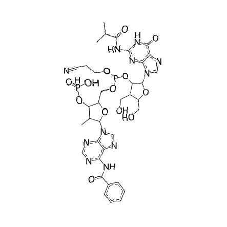 CC(C)C(=O)Nc1nc2c(ncn2C2OC(CO)C(CO)C2OP(OCCC#N)OCC2OC(n3cnc4c(NC(=O)c5ccccc5)ncnc43)C(C)C2O[PH](=O)O)c(=O)[nH]1